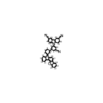 N#Cc1cc(-c2cccc(-n3c4ccccc4c4c5oc6ccccc6c5ccc43)c2)cc(-n2c3ccc(C#N)cc3c3cc(C#N)ccc32)c1